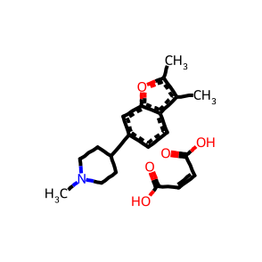 Cc1oc2cc(C3CCN(C)CC3)ccc2c1C.O=C(O)/C=C\C(=O)O